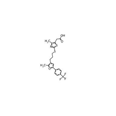 Cc1nc(SCCCc2cc(-c3ccc(C(F)(F)F)cc3)oc2C)sc1CC(=O)O